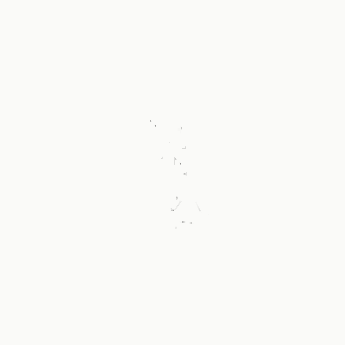 NCC1(O)CN(CCc2ccccc2)C1